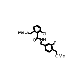 COCc1ccc(CNC(=O)c2c(Cl)cccc2COC)cc1F